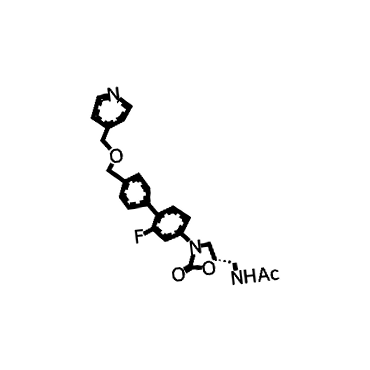 CC(=O)NC[C@H]1CN(c2ccc(-c3ccc(COCc4ccncc4)cc3)c(F)c2)C(=O)O1